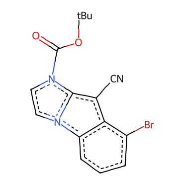 CC(C)(C)OC(=O)n1ccn2c3cccc(Br)c3c(C#N)c12